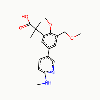 CNc1ccc(-c2cc(COC)c(OC)c(C(C)(C)C(=O)O)c2)cn1